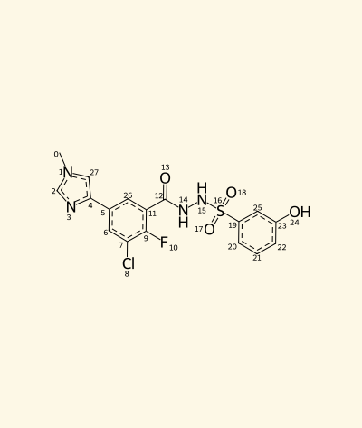 Cn1cnc(-c2cc(Cl)c(F)c(C(=O)NNS(=O)(=O)c3cccc(O)c3)c2)c1